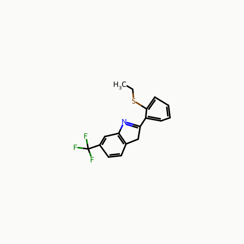 CCSc1ccccc1C1=Nc2cc(C(F)(F)F)ccc2C1